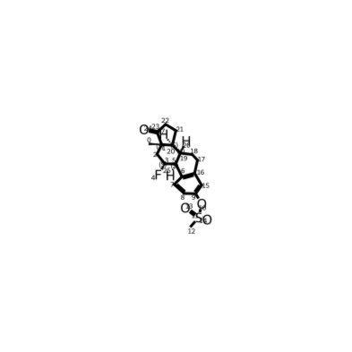 C[C@]12C[C@H](F)[C@@H]3c4ccc(OS(C)(=O)=O)cc4CC[C@H]3[C@@H]1CCC2=O